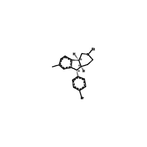 CCN1CC[C@H]2[C@H](c3ccc(Br)cc3)c3cc(C)ccc3[C@H]2C1